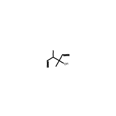 C=CC(C)C(C)(O)C=C